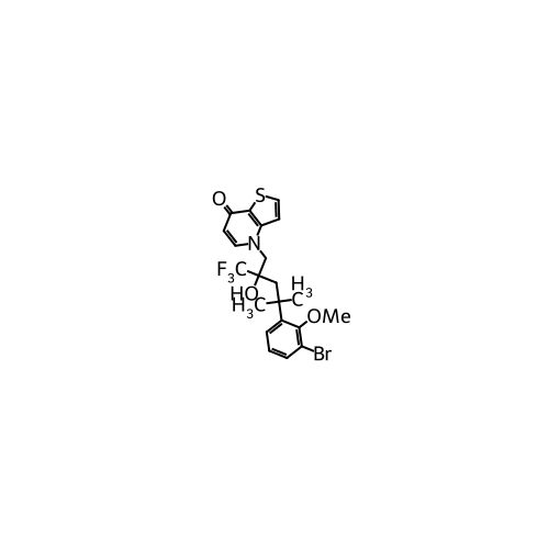 COc1c(Br)cccc1C(C)(C)CC(O)(Cn1ccc(=O)c2sccc21)C(F)(F)F